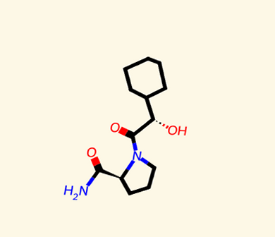 NC(=O)[C@@H]1CCCN1C(=O)[C@@H](O)C1CCCCC1